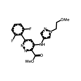 COCCn1cc(Nc2cc(-c3c(F)cccc3F)nnc2C(=O)OC)cn1